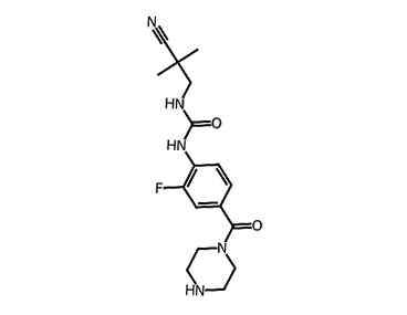 CC(C)(C#N)CNC(=O)Nc1ccc(C(=O)N2CCNCC2)cc1F